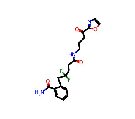 NC(=O)c1ccccc1CC(F)(F)C[CH]C(=O)NCCCC(=O)c1ncco1